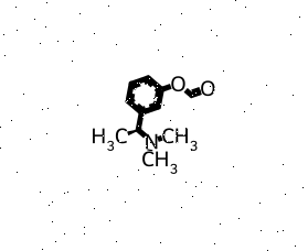 C[C@@H](c1cccc(OC=O)c1)N(C)C